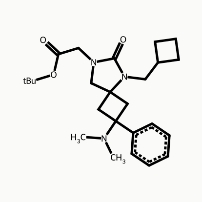 CN(C)C1(c2ccccc2)CC2(CN(CC(=O)OC(C)(C)C)C(=O)N2CC2CCC2)C1